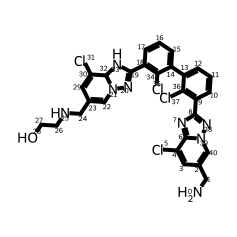 NCc1cc(Cl)c2nc(-c3cccc(-c4cccc(C5=NN6C=C(CNCCO)C=C(Cl)C6N5)c4Cl)c3Cl)nn2c1